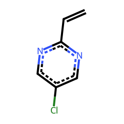 C=Cc1ncc(Cl)cn1